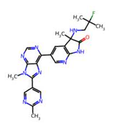 Cc1ncc(-c2nc3c(-c4cnc5c(c4)C(C)(NCC(C)(C)F)C(=O)N5)ncnc3n2C)cn1